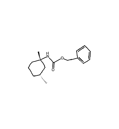 C[C@@H]1CCC[C@](C)(NC(=O)OCc2ccccc2)C1